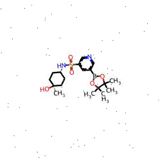 CC1(C)OB(c2cncc(S(=O)(=O)N[C@H]3CC[C@](C)(O)CC3)c2)OC1(C)C